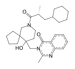 Cc1nc2ccccc2c(=O)n1CC1(O)CCN(C(=O)[C@H](C)CC2CCCCC2)CC12CCCC2